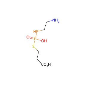 NCCPP(=O)(O)SCCC(=O)O